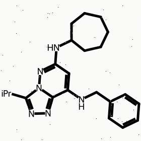 CC(C)c1nnc2c(NCc3ccccc3)cc(NC3CCCCCC3)nn12